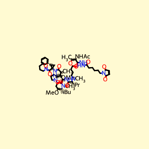 CC[C@H](C)[C@@H]([C@@H](CC(=O)N1CCC[C@H]1[C@H](OC)[C@@H](C)C(=O)N[C@@]1(C(=O)N2CCCCO2)C[C@H]1c1ccccc1)OC)N(C)C(=O)[C@@H](NC(=O)[C@H](C(C)C)N(C)CCCC(=O)O[C@H](C)[C@H](NC(C)=O)C(=O)NNC(=O)CCCCCN1C(=O)C=CC1=O)C(C)C